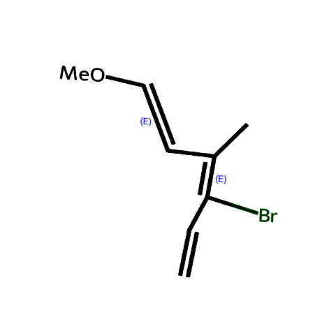 C=C/C(Br)=C(C)\C=C\OC